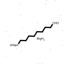 CCCCCCCCCCCCCCCC=O.[MgH2]